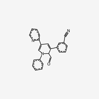 N#Cc1cccc(C2=CC(c3ccccn3)=CN(c3ccccc3)C2C=O)c1